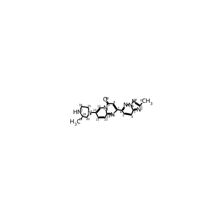 Cc1nc2ccc(-c3cc(=O)n4cc(N5CCN[C@H](C)C5)ccc4n3)nn2n1